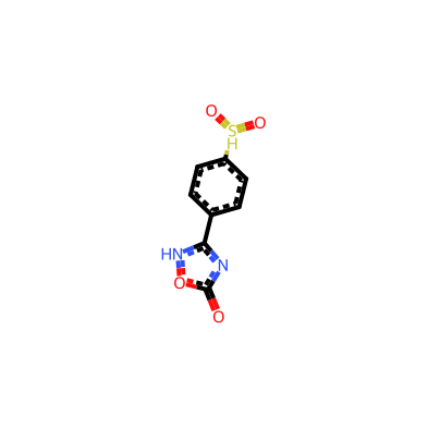 O=c1nc(-c2ccc([SH](=O)=O)cc2)[nH]o1